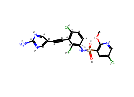 COc1ncc(Cl)cc1S(=O)(=O)Nc1ccc(Cl)c(C#Cc2cnc(N)nc2)c1F